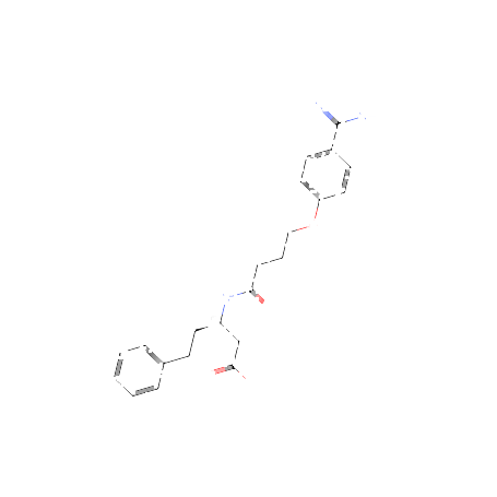 N=C(N)c1ccc(OCCCC(=O)N[C@H](CCc2ccccc2)CC(=O)O)cc1